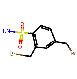 NS(=O)(=O)c1ccc(CBr)cc1CBr